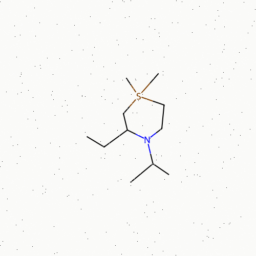 CCC1CS(C)(C)CCN1C(C)C